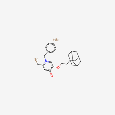 Br.O=c1cc(CBr)n(Cc2ccccc2)cc1OCCC12CC3CC(CC(C3)C1)C2